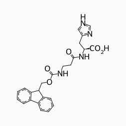 O=C(CCNC(=O)OCC1c2ccccc2-c2ccccc21)N[C@@H](Cc1c[nH]cn1)C(=O)O